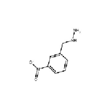 NNCc1cccc([N+](=O)[O-])c1